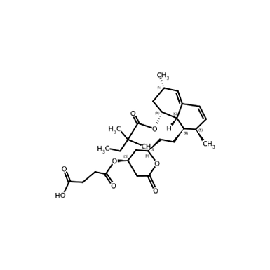 CCC(C)(C)C(=O)O[C@@H]1C[C@H](C)C=C2C=C[C@@H](C)[C@@H](CC[C@@H]3C[C@H](OC(=O)CCC(=O)O)CC(=O)O3)[C@@H]21